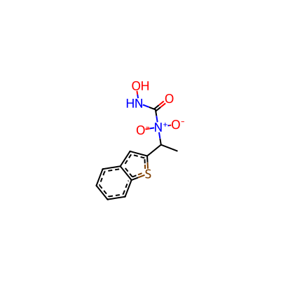 CC(c1cc2ccccc2s1)[N+]([O-])([O-])C(=O)NO